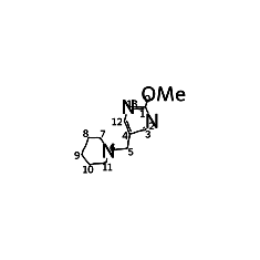 COc1ncc(CN2CCCCC2)cn1